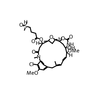 COc1cc2cc(c1Cl)N(C)C(=O)C[C@H](OC(=O)CCC[SH](C)(C)=O)[C@@]1(C)CC(C)(O1)[C@@H]1C[C@@](O)(NC(=O)O1)[C@H](OC)/C=C/C=C(\C)C2